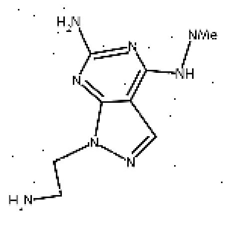 CNNc1nc(N)nc2c1cnn2CCN